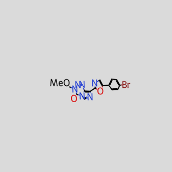 COCn1nnc2c(-c3ncc(-c4ccc(Br)cc4)o3)ncn2c1=O